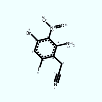 N#CCc1c(F)cc(Br)c([N+](=O)[O-])c1N